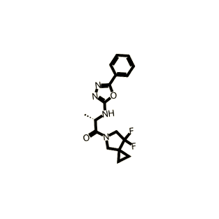 C[C@H](Nc1nnc(-c2ccccc2)o1)C(=O)N1CC(F)(F)C2(CC2)C1